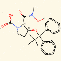 CON(C)C(=O)[C@@H]1[C@@H](O[Si](c2ccccc2)(c2ccccc2)C(C)(C)C)CCN1C(=O)O